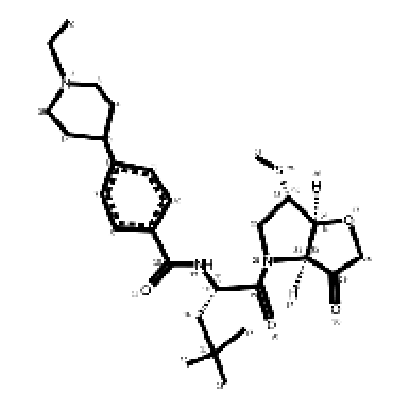 CCN1CCC(c2ccc(C(=O)N[C@@H](CC(C)(C)C)C(=O)N3C[C@H](SC)[C@H]4OCC(=O)[C@H]43)cc2)CC1